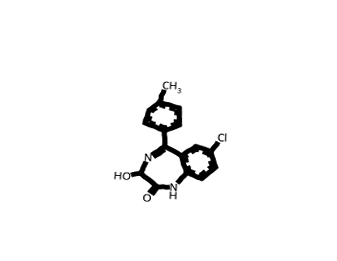 Cc1ccc(C2=NC(O)C(=O)Nc3ccc(Cl)cc32)cc1